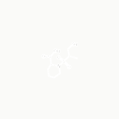 CC(CS)S(=O)(=O)N1CCCCC1C(=O)O